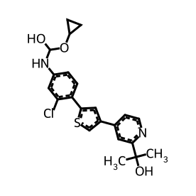 CC(C)(O)c1cc(-c2csc(-c3ccc(NC(O)OC4CC4)cc3Cl)c2)ccn1